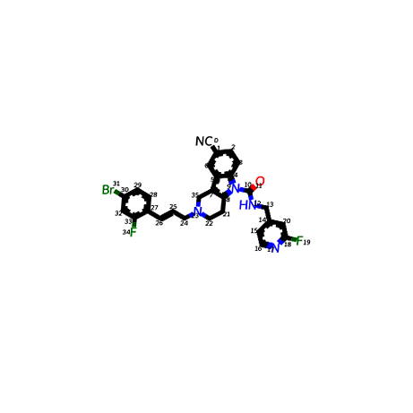 N#Cc1ccc2c(c1)c1c(n2C(=O)NCc2ccnc(F)c2)CCN(C/C=C/c2ccc(Br)cc2F)C1